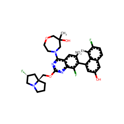 CCc1c(F)ccc2cc(O)cc(-c3c([N+](=O)[O-])cc4c(N5CCOCC(C)(O)C5)nc(OC[C@@]56CCCN5C[C@H](F)C6)nc4c3F)c12